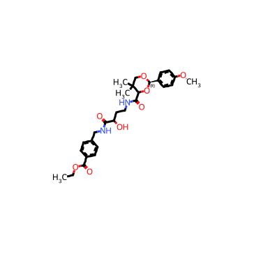 CCOC(=O)c1ccc(CNC(=O)C(O)CCNC(=O)C2O[C@H](c3ccc(OC)cc3)OCC2(C)C)cc1